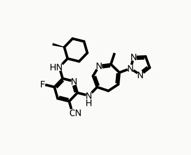 CC1=NC=C(Nc2nc(NC3CCCC[C@@H]3C)c(F)cc2C#N)CC=C1n1nccn1